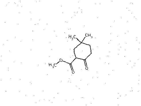 COC(=O)C1CC(C)(C)CCC1=O